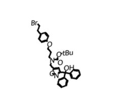 CC(C)(C)OC(=O)N(CCCOc1ccc(CCBr)cc1)Cc1cc(C(O)(c2ccccc2)c2ccccc2)no1